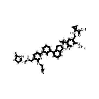 COc1nc(N[C@H]2CCc3c(-c4cccc(-c5ccc(CNC[C@@H]6CCC(=O)N6)c(OCC#N)n5)c4Cl)cccc32)c(C(F)(F)F)cc1CNC1(C(=O)O)CC1